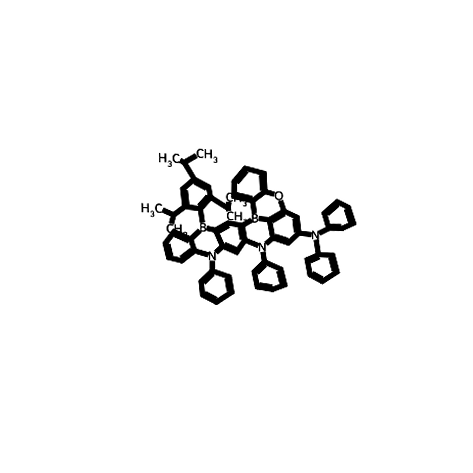 CC(C)c1cc(C(C)C)c(B2c3ccccc3N(c3ccccc3)c3cc4c(cc32)B2c3ccccc3Oc3cc(N(c5ccccc5)c5ccccc5)cc(c32)N4c2ccccc2)c(C(C)C)c1